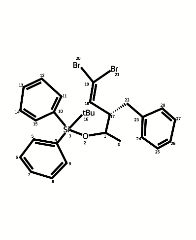 CC(O[Si](c1ccccc1)(c1ccccc1)C(C)(C)C)[C@H](C=C(Br)Br)Cc1ccccc1